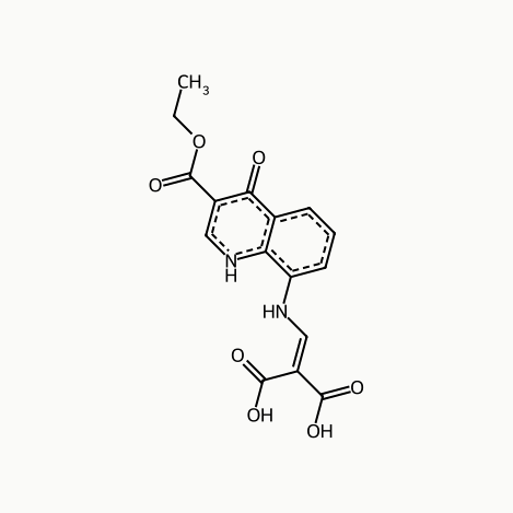 CCOC(=O)c1c[nH]c2c(NC=C(C(=O)O)C(=O)O)cccc2c1=O